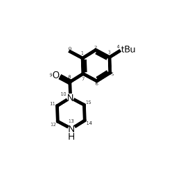 Cc1cc(C(C)(C)C)ccc1C(=O)N1CCNCC1